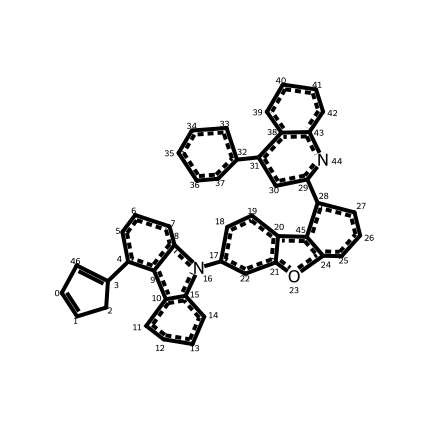 C1=CCC(c2cccc3c2c2ccccc2n3-c2ccc3c(c2)oc2cccc(-c4cc(-c5ccccc5)c5ccccc5n4)c23)=C1